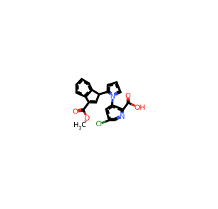 COC(=O)C1=CC(c2cccn2-c2cc(Cl)cnc2C(=O)O)c2ccccc21